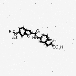 CCN(CC)c1ccc2cc(C(=O)Nc3ccc4[nH]c(C(=O)O)cc4c3)oc2c1